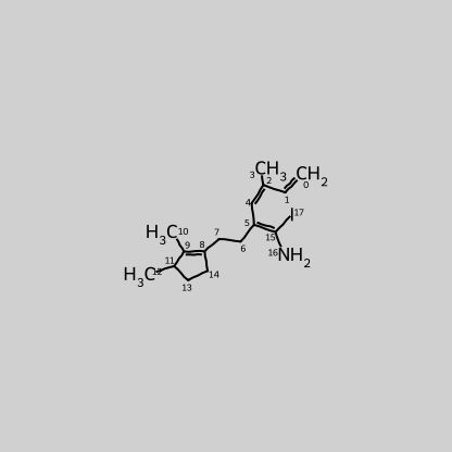 C=C/C(C)=C\C(CCC1=C(C)C(C)CC1)=C(\N)I